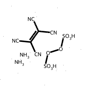 N.N.N#CC(C#N)=C(C#N)C#N.O=S(=O)(O)OOS(=O)(=O)O